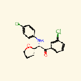 O=C(c1cccc(Cl)c1)[C@@H](Nc1ccc(Cl)cc1)[C@@H]1CCCO1